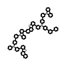 c1ccc(-c2cccc(-c3ccc(N(c4ccc(-c5cccc(-n6c7ccccc7c7ccccc76)c5)cc4)c4cccc(-c5cccc6oc7c8cc(-c9cccc%10c9c9ccccc9n%10-c9cccc(-c%10ccc(N(c%11ccccc%11)c%11cccc(-c%12cccc%13oc%14c%15ccccc%15ccc%14c%12%13)c%11)cc%10)c9)ccc8ccc7c56)c4)cc3)c2)cc1